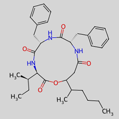 CCCCC(C)C1CC(=O)N[C@@H](Cc2ccccc2)C(=O)N[C@@H](Cc2ccccc2)C(=O)N[C@H]([C@H](C)CC)C(=O)O1